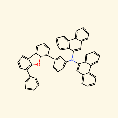 c1ccc(-c2cccc3c2oc2c(-c4cccc(N(c5cc6ccccc6c6ccccc56)c5cc6ccccc6c6ccccc56)c4)cccc23)cc1